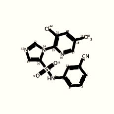 N#Cc1cccc(NS(=O)(=O)c2cncn2-c2ncc(C(F)(F)F)cc2Cl)c1